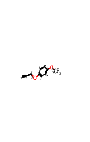 C#CCOc1ccc(OC(F)(F)F)cc1